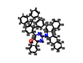 c1ccc2c(c1)-c1ccccc1C21c2ccccc2-c2c(-c3nc(-n4c5cc6ccccc6cc5c5c6ccccc6ccc54)nc4c3oc3ccccc34)cccc21